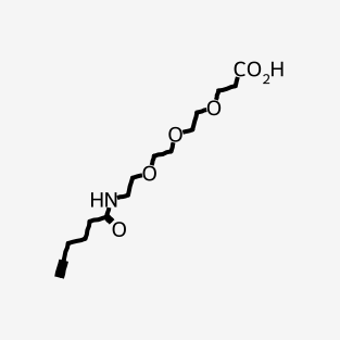 C#CCCCC(=O)NCCOCCOCCOCCC(=O)O